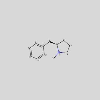 CN1CCC[C@@H]1Cc1cc[c]cc1